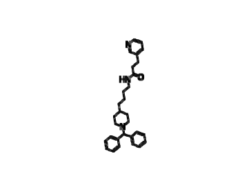 O=C(CCc1cccnc1)NCCCCC1CCN(C(c2ccccc2)c2ccccc2)CC1